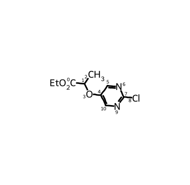 CCOC(=O)C(C)Oc1cnc(Cl)nc1